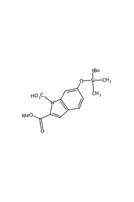 COC(=O)c1cc2ccc(O[Si](C)(C)C(C)(C)C)cc2n1C(=O)O